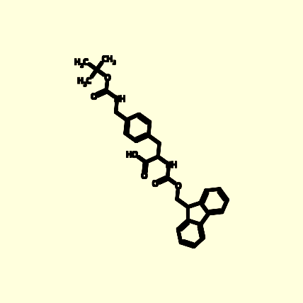 CC(C)(C)OC(=O)NCc1ccc(CC(NC(=O)OCC2c3ccccc3-c3ccccc32)C(=O)O)cc1